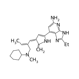 C=c1[nH]c(-c2cc(N)nc3[nH]c(CC)nc23)c/c1=C/C(=C\C)CN(C)C1CCCCC1